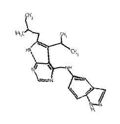 CC(C)Cc1[nH]c2ncnc(Nc3ccc4[nH]ncc4c3)c2c1C(C)C